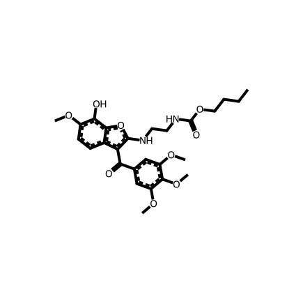 CCCCOC(=O)NCCNc1oc2c(O)c(OC)ccc2c1C(=O)c1cc(OC)c(OC)c(OC)c1